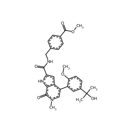 COC(=O)c1ccc(CNC(=O)c2cc3c(-c4cc(C(C)(C)O)ccc4OC)cn(C)c(=O)c3[nH]2)cc1